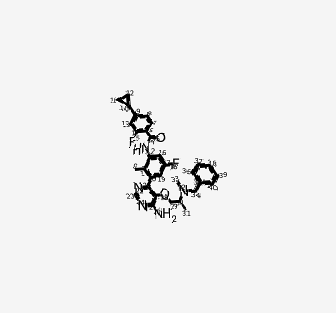 Cc1c(NC(=O)c2ccc(C3CC3)cc2F)cc(F)cc1-c1ncnc(N)c1OC[C@H](C)N(C)Cc1ccccc1